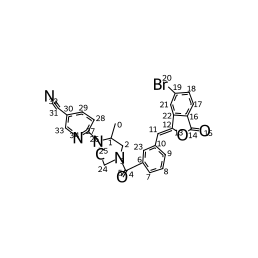 CC1CN(C(=O)c2cccc(/C=C3\OC(=O)c4ccc(Br)cc43)c2)CCN1c1ccc(C#N)cn1